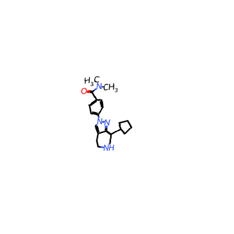 CN(C)C(=O)c1ccc(-n2cc3c(n2)C(C2CCCC2)CNCC3)cc1